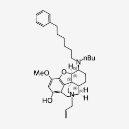 C=CCN1CC[C@]23c4c5c(O)cc(OC)c4O[C@H]2[C@@H](N(CCCC)CCCCCCc2ccccc2)CC[C@H]3[C@H]1C5